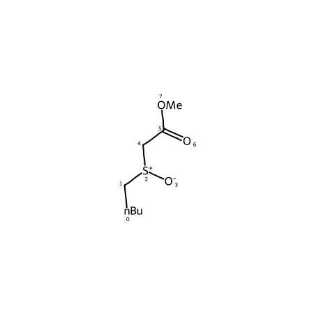 CCCCC[S+]([O-])CC(=O)OC